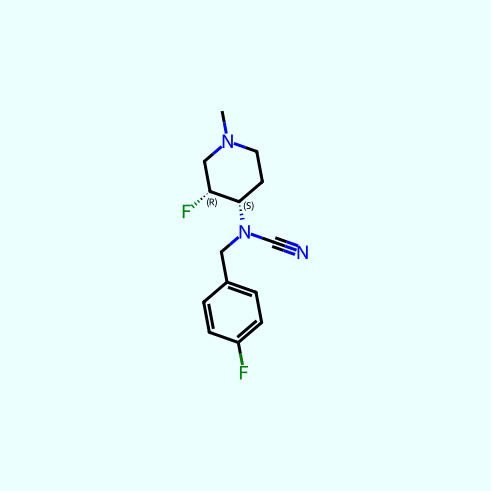 CN1CC[C@H](N(C#N)Cc2ccc(F)cc2)[C@H](F)C1